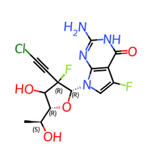 C[C@H](O)[C@H]1O[C@@H](n2cc(F)c3c(=O)[nH]c(N)nc32)[C@@](F)(C#CCl)C1O